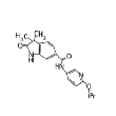 CC(C)Oc1ccc(NC(=O)c2ccc3c(c2)NC(=O)C3(C)C)cn1